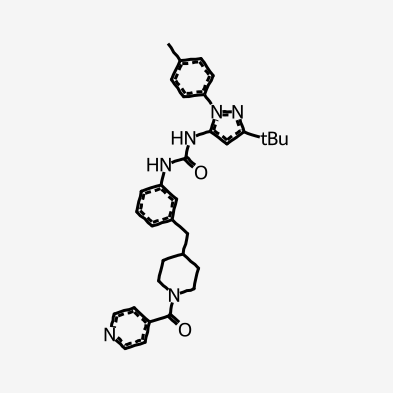 Cc1ccc(-n2nc(C(C)(C)C)cc2NC(=O)Nc2cccc(CC3CCN(C(=O)c4ccncc4)CC3)c2)cc1